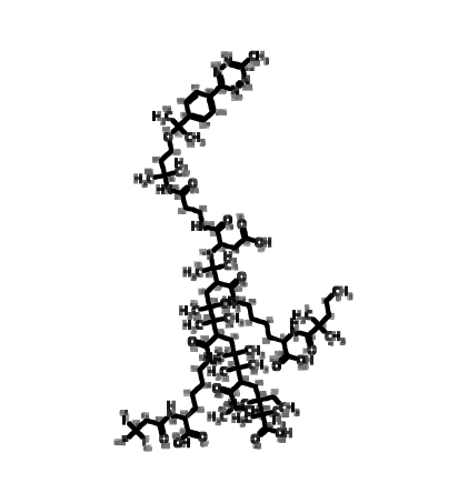 CCCC(C)(C)C(=O)N[C@H](CCCCNC(=O)C(CC(C)(C)C(C)(C)C(CC(C)(C)C(C)(C)C(CC(C)(CC)C(C)(C)C(=O)O)C(=O)N(C)C)C(=O)NCCCC[C@H](NC(=O)CC(F)(F)F)C(=O)O)C(C)(C)SC(CC(=O)O)C(=O)NCCC(=O)NC(C)(C)CCOC(C)(C)c1ccc(-c2nnc(C)nn2)cc1)C(=O)O